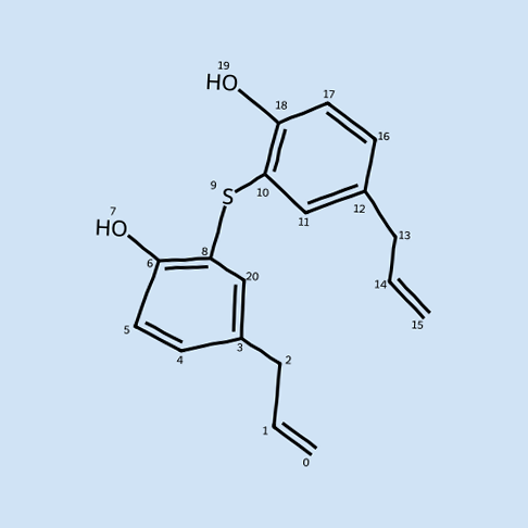 C=CCc1ccc(O)c(Sc2cc(CC=C)ccc2O)c1